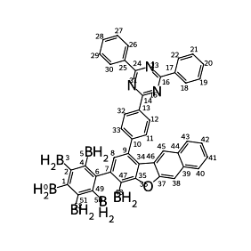 Bc1c(B)c(B)c(-c2cc(-c3ccc(-c4nc(-c5ccccc5)nc(-c5ccccc5)n4)cc3)c3c(oc4cc5ccccc5cc43)c2B)c(B)c1B